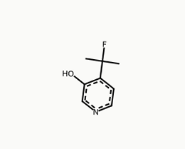 CC(C)(F)c1ccncc1O